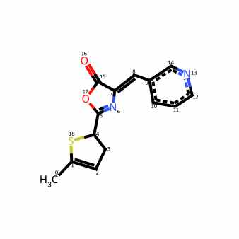 CC1=CCC(C2=N/C(=C\c3cccnc3)C(=O)O2)S1